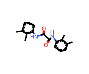 Cc1cccc(NC(=O)C(=O)Nc2cccc(C)c2C)c1C